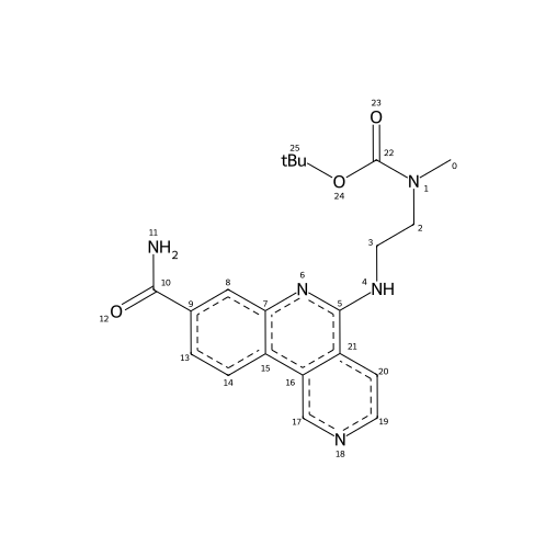 CN(CCNc1nc2cc(C(N)=O)ccc2c2cnccc12)C(=O)OC(C)(C)C